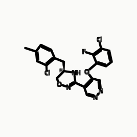 Cc1ccc(C[C@@H]2CON=C(c3cnncc3Oc3cccc(Cl)c3F)N2)c(Cl)c1